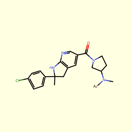 CC(=O)N(C)C1CCN(C(=O)c2cnc3c(c2)CC(C)(c2ccc(Cl)cc2)N3)C1